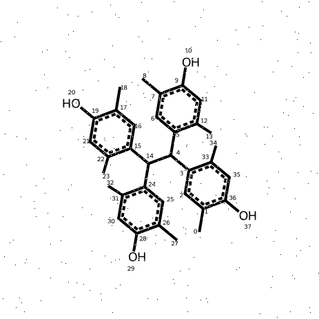 Cc1cc(C(c2cc(C)c(O)cc2C)C(c2cc(C)c(O)cc2C)c2cc(C)c(O)cc2C)c(C)cc1O